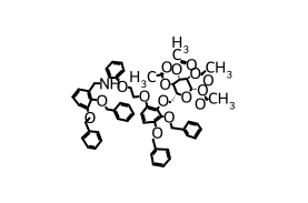 CC(=O)O[C@@H]1O[C@H](COc2c(OCCOc3ccccc3NCc3cccc(OCc4ccccc4)c3OCc3ccccc3)ccc(OCc3ccccc3)c2OCc2ccccc2)[C@@H](OC(C)=O)[C@H](OC(C)=O)[C@H]1OC(C)=O